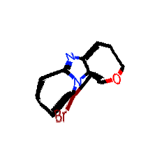 BrC1=CC=C2OCCC=C3N=C4C=CC=CN4C32C1